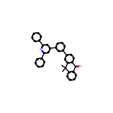 CC1(C)c2ccccc2C(=O)c2ccc(-c3cccc(-c4cc(-c5ccccc5)nc(-c5ccccc5)c4)c3)cc21